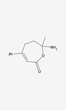 CC(C)C1=CC(=O)OC(C)(N)CC1